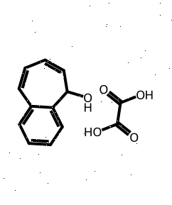 O=C(O)C(=O)O.OC1C=CC=Cc2ccccc21